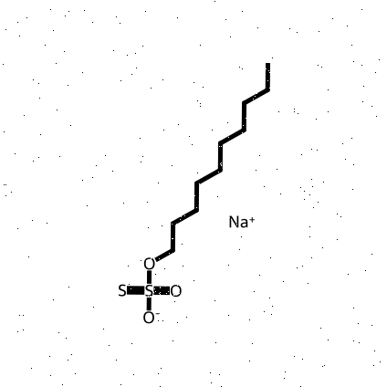 CCCCCCCCCCOS(=O)([O-])=S.[Na+]